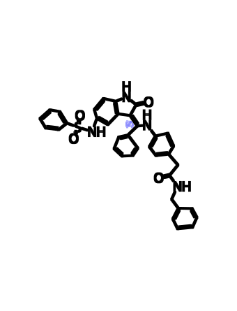 O=C(Cc1ccc(N/C(=C2\C(=O)Nc3ccc(NS(=O)(=O)c4ccccc4)cc32)c2ccccc2)cc1)NCc1ccccc1